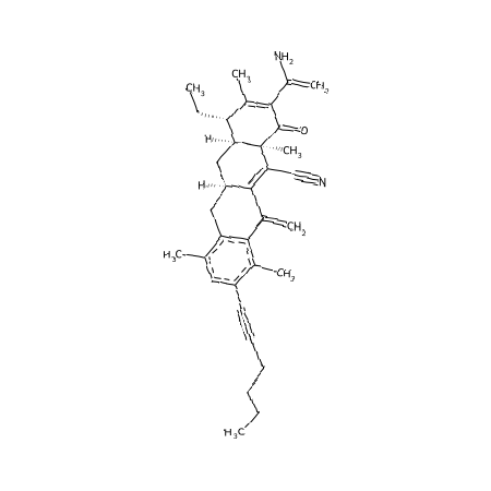 C=C(N)C1=C(C)[C@@H](CC)[C@@H]2C[C@@H]3Cc4c(C)cc(C#CCCCC)c(C)c4C(=C)C3=C(C#N)[C@]2(C)C1=O